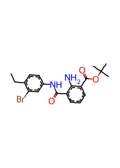 CCc1ccc(NC(=O)c2cccc(C(=O)OC(C)(C)C)c2N)cc1Br